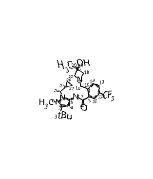 Cn1c(C(C)(C)C)cc(=NC(=O)c2cc(C(F)(F)F)ccc2CN2CC(C)(O)C2)n1CC1CC1